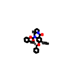 COc1cc2c(cc1OCc1ccccc1)N(C(=O)Oc1ccccc1[N+](=O)[O-])C[C@@H]1CCCN1C2=O